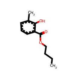 CCCCOC(=O)c1cccc(C)c1O